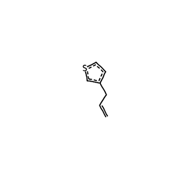 C=CCc1ccsc1